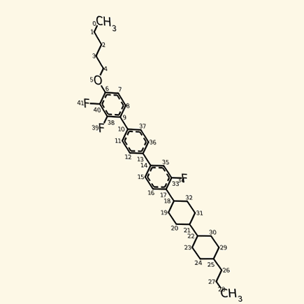 CCCCCOc1ccc(-c2ccc(-c3ccc(C4CCC(C5CCC(CCC)CC5)CC4)c(F)c3)cc2)c(F)c1F